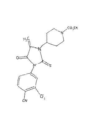 C=C1C(=O)N(c2ccc(C#N)c(C(F)(F)F)c2)C(=S)N1C1CCN(C(=O)OCC)CC1